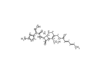 C/C=C/C=C/C(=O)OCC1=C(C(=O)O)N2C(=O)[C@@H](NC(=O)/C(=N\O)c3csc(N)n3)[C@H]2SC1